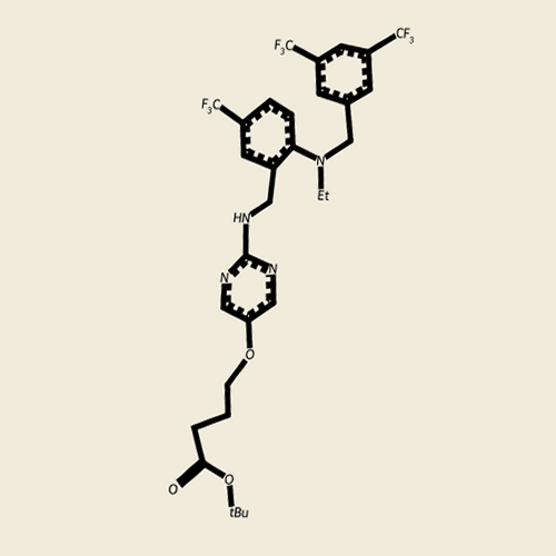 CCN(Cc1cc(C(F)(F)F)cc(C(F)(F)F)c1)c1ccc(C(F)(F)F)cc1CNc1ncc(OCCCC(=O)OC(C)(C)C)cn1